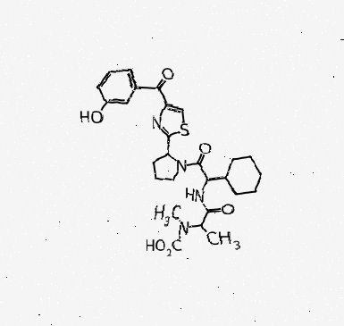 CC(C(=O)NC(C(=O)N1CCC[C@H]1c1nc(C(=O)c2cccc(O)c2)cs1)C1CCCCC1)N(C)C(=O)O